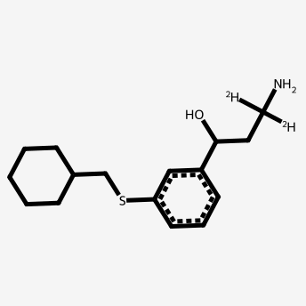 [2H]C([2H])(N)CC(O)c1cccc(SCC2CCCCC2)c1